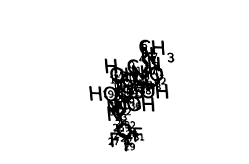 CN(Cc1cn(C)cn1)C(=O)[C@@H](S[C@@H]1O[C@H](CO)[C@H](O)[C@H](n2cc(-c3cc(F)c(F)c(F)c3)nn2)[C@H]1O)C1(O)CCOCC1